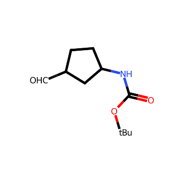 CC(C)(C)OC(=O)NC1CCC(C=O)C1